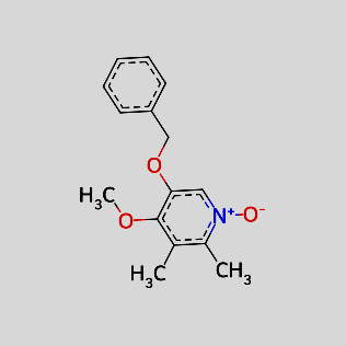 COc1c(OCc2ccccc2)c[n+]([O-])c(C)c1C